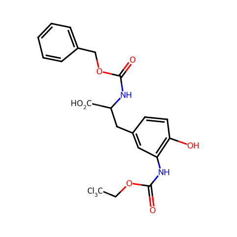 O=C(Nc1cc(CC(NC(=O)OCc2ccccc2)C(=O)O)ccc1O)OCC(Cl)(Cl)Cl